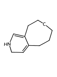 C1=C2CCCCCCC2=CNC1